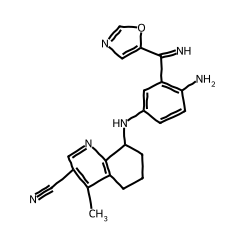 Cc1c(C#N)cnc2c1CCCC2Nc1ccc(N)c(C(=N)c2cnco2)c1